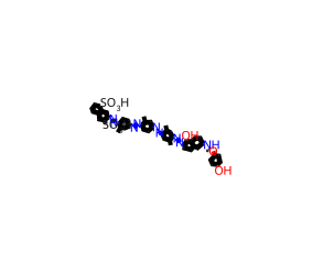 Cc1cc(N=Nc2cc(C)c(N=Nc3ccc4cc(NCOc5ccc(O)cc5)ccc4c3O)cc2C)ccc1N=Nc1ccc(N=Nc2cc3c(S(=O)(=O)O)cccc3cc2S(=O)(=O)O)c(C)c1